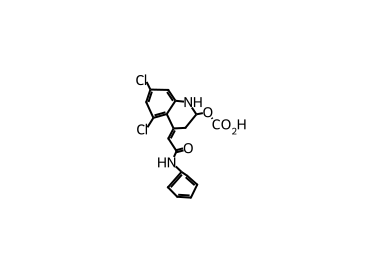 O=C(/C=C1\CC(OC(=O)O)Nc2cc(Cl)cc(Cl)c21)Nc1ccccc1